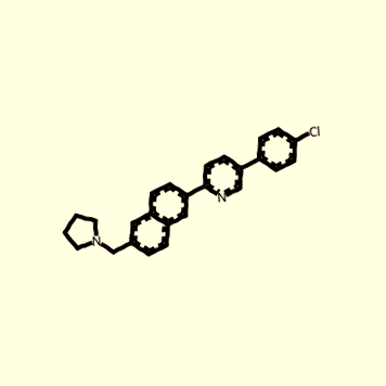 Clc1ccc(-c2ccc(-c3ccc4cc(CN5CCCC5)ccc4c3)nc2)cc1